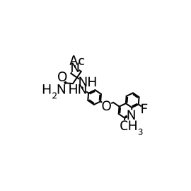 CC(=O)N1CC(CC(N)=O)(NNc2ccc(OCc3cc(C)nc4c(F)cccc34)cc2)C1